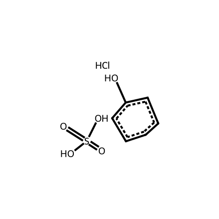 Cl.O=S(=O)(O)O.Oc1ccccc1